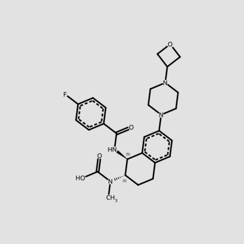 CN(C(=O)O)[C@H]1CCc2ccc(N3CCN(C4COC4)CC3)cc2[C@@H]1NC(=O)c1ccc(F)cc1